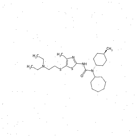 CCN(CC)CCSc1sc(NC(=O)N(C2CCCCCC2)[C@H]2CC[C@H](C)CC2)nc1C